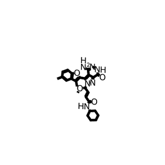 COC(/C=C/C(=O)NC1CCCCC1)n1nc2c(=O)[nH]nc(N)c2c1-c1oc2ccc(C)cc2c1C